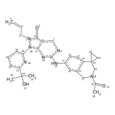 C=CCn1c(=O)c2cnc(Nc3ccc4c(c3)CN(C(C)=O)CC43CC3)nc2n1-c1cccc(C(C)(C)O)n1